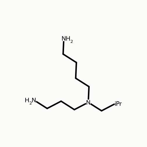 CC(C)CN(CCCN)CCCCN